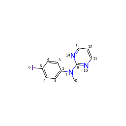 CN(c1ccc(I)cc1)c1ncccn1